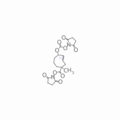 CC1(C(=O)ON2C(=O)CCC2=O)C/C=C/C(OC(=O)ON2C(=O)CCC2=O)CCC1